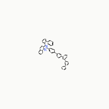 c1ccc(-c2cccc(-c3cccc(-c4ccc(-c5ccc(-c6nc(-c7ccccc7-c7ccccc7)c7ccc8ccccc8c7n6)cc5)cc4)c3)c2)cc1